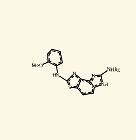 COc1ccccc1Nc1nc2c(ccc3[nH]c(NC(C)=O)nc32)s1